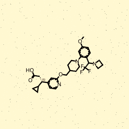 COc1ccc(C(N2CCC2)C(F)(F)F)c(N2CCC(COc3cc([C@@H](CC(=O)O)C4CC4)ccn3)CC2)c1